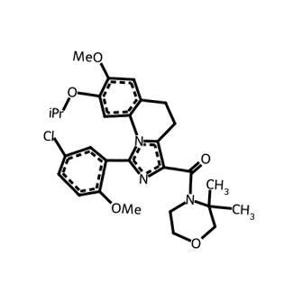 COc1cc2c(cc1OC(C)C)-n1c(-c3cc(Cl)ccc3OC)nc(C(=O)N3CCOCC3(C)C)c1CC2